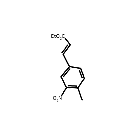 CCOC(=O)/C=C/c1ccc(C)c([N+](=O)[O-])c1